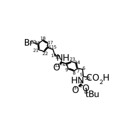 CC(C)(C)OC(=O)NC(Cc1ccc(C(=O)NCCc2ccc(Br)cc2)cc1)C(=O)O